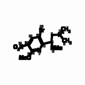 CNC(CN(C)C)c1nc(OC)c([N+](=O)[O-])cc1Br